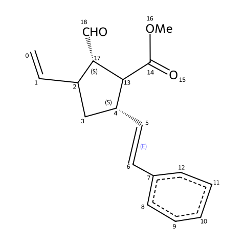 C=CC1C[C@@H](/C=C/c2ccccc2)C(C(=O)OC)[C@H]1C=O